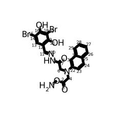 NOC(=O)CN(CC(=O)N/N=C/c1cc(Br)c(O)c(Br)c1O)c1ccc2ccccc2c1